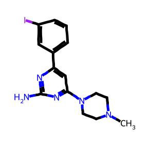 CN1CCN(c2cc(-c3cccc(I)c3)nc(N)n2)CC1